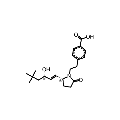 CC(C)(C)C[C@H](O)C=C[C@H]1CCC(=O)N1CCc1ccc(C(=O)O)cc1